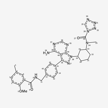 COc1ccc(C)cc1C(=O)NCc1ccc(-c2nn(C3CCCC(N(C)C(=O)n4cnnn4)C3)c3ncnc(N)c23)cc1